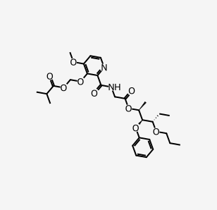 CCCO[C@@H](CC)[C@@H](Oc1ccccc1)[C@H](C)OC(=O)CNC(=O)c1nccc(OC)c1OCOC(=O)C(C)C